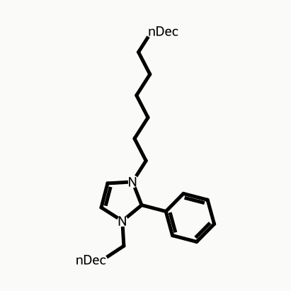 CCCCCCCCCCCCCCCCN1C=CN(CCCCCCCCCCC)C1c1ccccc1